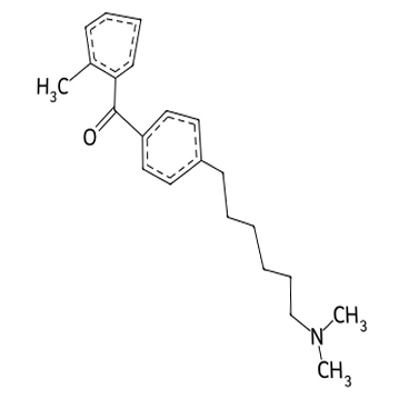 Cc1ccccc1C(=O)c1ccc(CCCCCCN(C)C)cc1